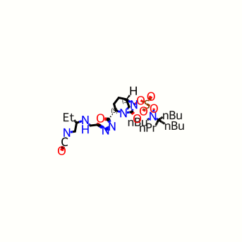 CCCCN(OS(=O)(=O)ON1C(=O)N2C[C@@H]1CC[C@H]2c1nnc(CNC(CC)CN=C=O)o1)C(CCC)(CCCC)CCCC